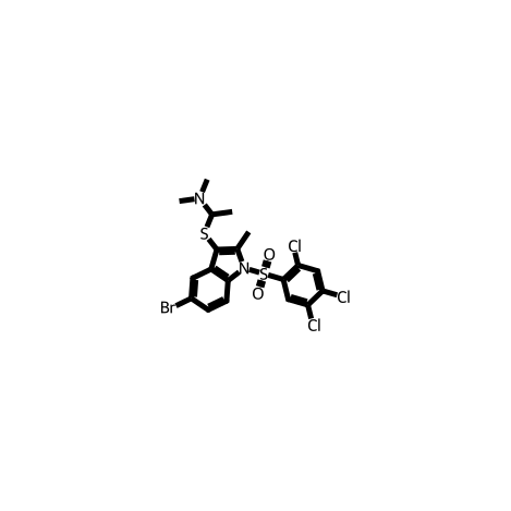 Cc1c(SC(C)N(C)C)c2cc(Br)ccc2n1S(=O)(=O)c1cc(Cl)c(Cl)cc1Cl